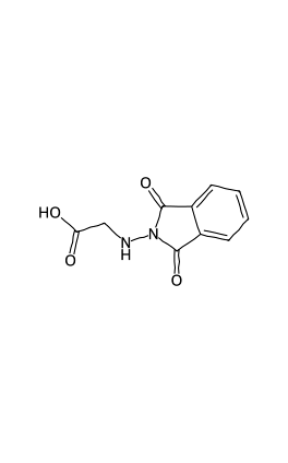 O=C(O)CNN1C(=O)c2ccccc2C1=O